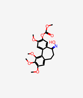 COC(=O)Oc1cc2c(cc1OC)-c1c(cc(OC)c(OC)c1OC)CC/C2=N/O